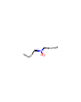 CCCCCCC/C=[N+](\[O-])CCCCCCCC